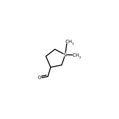 C[Si]1(C)CCC(C=O)C1